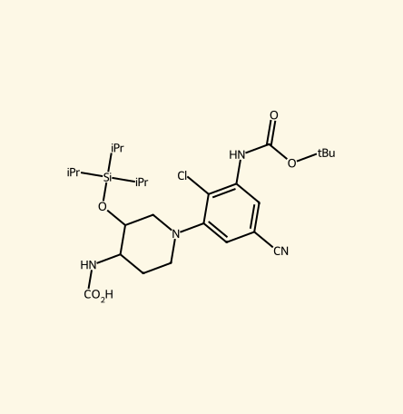 CC(C)[Si](OC1CN(c2cc(C#N)cc(NC(=O)OC(C)(C)C)c2Cl)CCC1NC(=O)O)(C(C)C)C(C)C